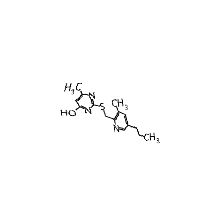 CCCc1cnc(CSc2nc(C)cc(O)n2)c(C)c1